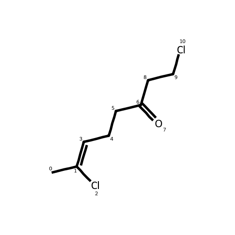 C/C(Cl)=C/CCC(=O)CCCl